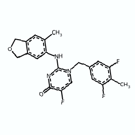 Cc1cc2c(cc1Nc1nc(=O)c(F)cn1Cc1cc(F)c(C)c(F)c1)COC2